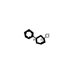 Cl[C@@H]1C=CC[C@@H](c2ccccc2)C1